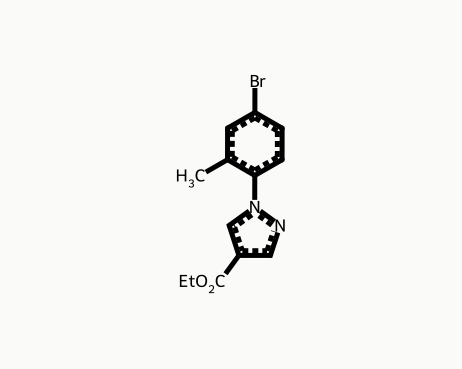 CCOC(=O)c1cnn(-c2ccc(Br)cc2C)c1